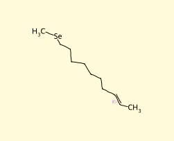 C/C=C/CCCCCCC[Se]C